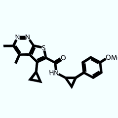 COc1ccc(C2CC2NC(=O)c2sc3nnc(C)c(C)c3c2C2CC2)cc1